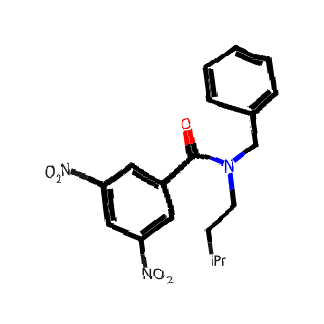 CC(C)CCN(Cc1ccccc1)C(=O)c1cc([N+](=O)[O-])cc([N+](=O)[O-])c1